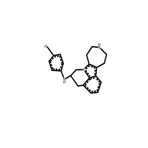 Clc1ccc(NC2Cc3cccc4c5c(n(c34)C2)CCNCC5)cc1